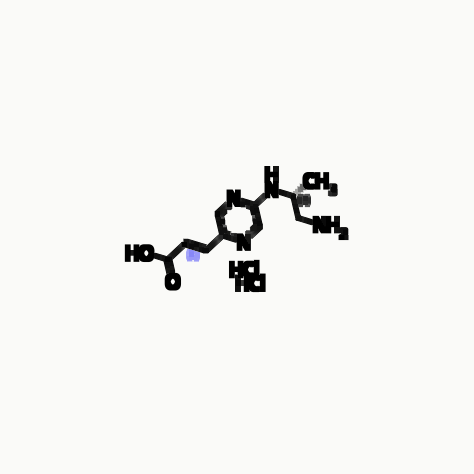 C[C@H](CN)Nc1cnc(/C=C/C(=O)O)cn1.Cl.Cl